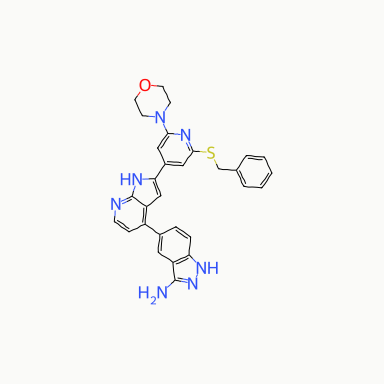 Nc1n[nH]c2ccc(-c3ccnc4[nH]c(-c5cc(SCc6ccccc6)nc(N6CCOCC6)c5)cc34)cc12